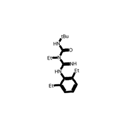 CCc1cccc(CC)c1NC(=N)N(CC)C(=O)NC(C)(C)C